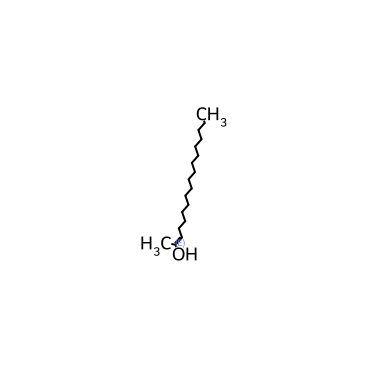 CCCCCCCCCCCCCCC/C=C(\C)O